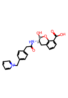 O=C(Cc1ccc(C[n+]2ccccc2)cc1)N[C@H]1Cc2cccc(C(=O)O)c2OB1O